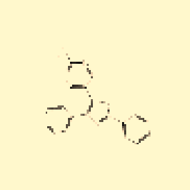 Nc1ncc(-c2[nH]c(-c3ccccc3)nc2-c2ccncc2)cn1